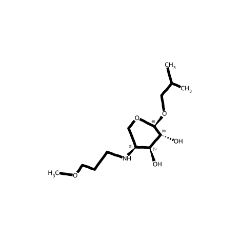 COCCCN[C@H]1CO[C@@H](OCC(C)C)[C@H](O)[C@H]1O